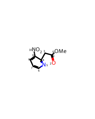 COC(=O)Cc1ncccc1[N+](=O)[O-]